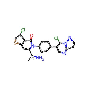 C[C@H](N)c1cc2scc(Cl)c2c(=O)n1-c1ccc(-c2cnc3ccnn3c2Cl)cc1